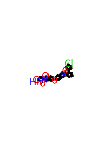 CC1(C)CCC(C(=O)N2CCC3(CCC(Oc4ccc5c(c4)CN(C4CCC(=O)NC4=O)C5=O)CC3)CC2)=C(c2ccc(Cl)cc2)C1